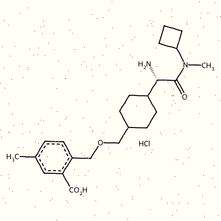 Cc1ccc(COCC2CCC([C@H](N)C(=O)N(C)C3CCC3)CC2)c(C(=O)O)c1.Cl